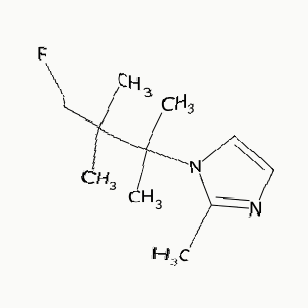 Cc1nccn1C(C)(C)C(C)(C)CF